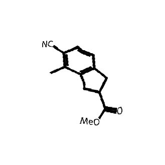 COC(=O)C1Cc2ccc(C#N)c(C)c2C1